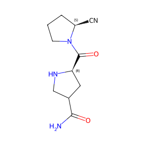 N#C[C@@H]1CCCN1C(=O)[C@H]1CC(C(N)=O)CN1